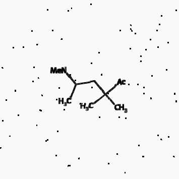 CNC(C)CC(C)(C)C(C)=O